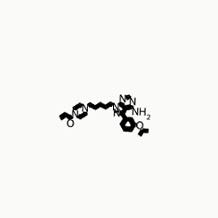 C=CC(=O)N1CCN(CCCCCn2nc(-c3cccc(OC(C)C)c3)c3c(N)ncnc32)CC1